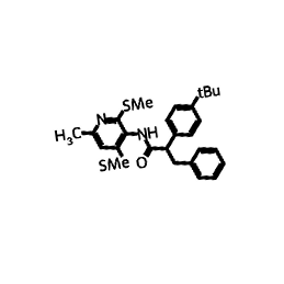 CSc1cc(C)nc(SC)c1NC(=O)C(Cc1ccccc1)c1ccc(C(C)(C)C)cc1